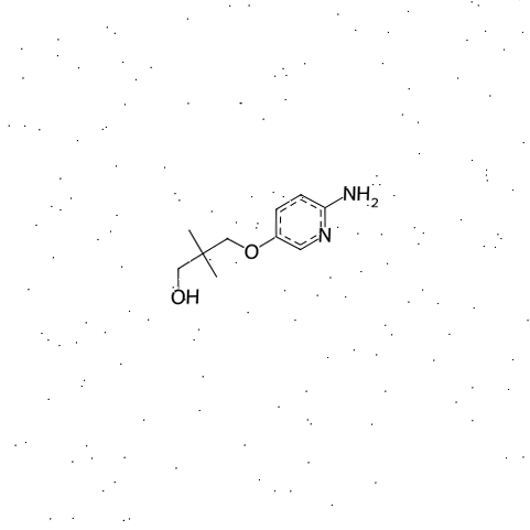 CC(C)(CO)COc1ccc(N)nc1